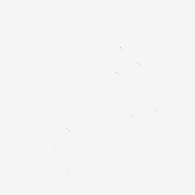 C[C@@H](C(=O)Nc1ccnc(-c2cnc(N3CC4C(C3)C4(F)F)nc2)n1)n1cnc2c1c(=O)n(C)c(=O)n2C